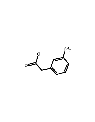 Bc1cccc(CC(=O)Cl)c1